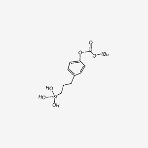 CC(C)(C)OC(=O)Oc1ccc(CCC[Si](O)(O)O)cc1